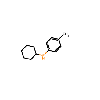 Cc1ccc(PC2CCCCC2)cc1